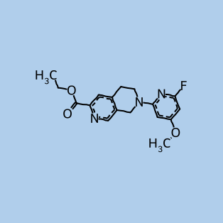 CCOC(=O)c1cc2c(cn1)CN(c1cc(OC)cc(F)n1)CC2